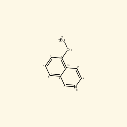 CC(C)(C)Oc1cccc2cnccc12